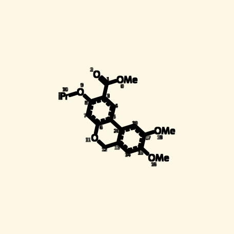 COC(=O)c1cc2c(cc1OC(C)C)OCc1cc(OC)c(OC)cc1-2